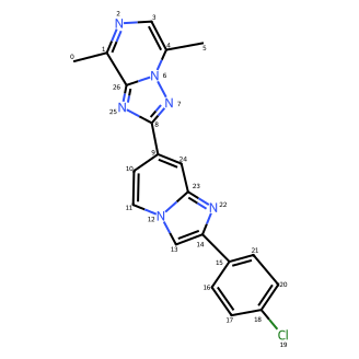 Cc1ncc(C)n2nc(-c3ccn4cc(-c5ccc(Cl)cc5)nc4c3)nc12